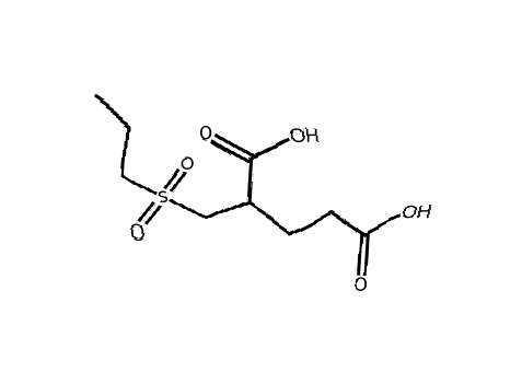 CCCS(=O)(=O)CC(CCC(=O)O)C(=O)O